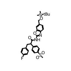 CC(C)(C)[Si](C)(C)OCc1ccc2nc(NC(=O)C(Cc3ccc(F)cc3)c3ccc(S(C)(=O)=O)cc3)oc2c1